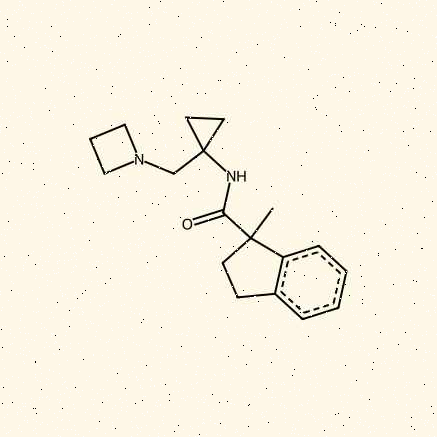 CC1(C(=O)NC2(CN3CCC3)CC2)CCc2ccccc21